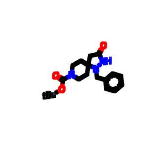 CC(C)(C)OC(=O)N1CCC2(CC1)CC(=O)NN2Cc1ccccc1